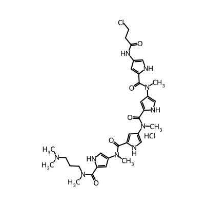 CN(C)CCCN(C)C(=O)c1cc(N(C)C(=O)c2cc(N(C)C(=O)c3cc(N(C)C(=O)c4cc(NC(=O)CCCl)c[nH]4)c[nH]3)c[nH]2)c[nH]1.Cl